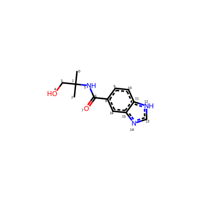 CC(C)(CO)NC(=O)c1ccc2[nH]cnc2c1